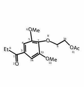 CCC(=O)c1cc(OC)c(OCCOC(C)=O)c(OC)c1